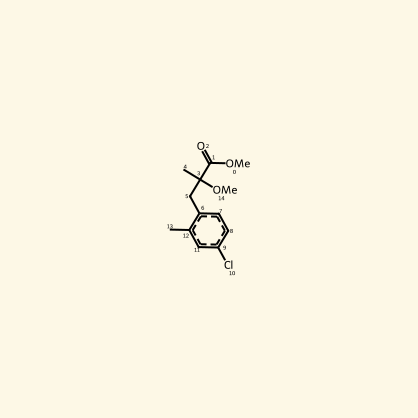 COC(=O)C(C)(Cc1ccc(Cl)cc1C)OC